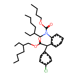 CCCCOC(=O)N(CC(CC)CCCC)c1ccccc1C(C(=O)OCC(CC)CCCC)c1ccc(Cl)cc1